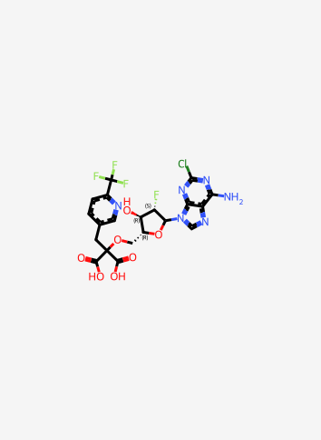 Nc1nc(Cl)nc2c1ncn2C1O[C@H](COC(Cc2ccc(C(F)(F)F)nc2)(C(=O)O)C(=O)O)[C@@H](O)[C@@H]1F